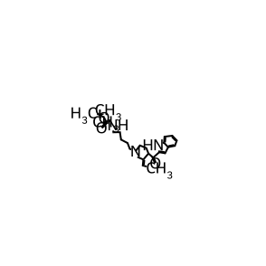 C/C=C1/CN(CCCCCNC(=O)OC(C)(C)C)CCC1C(=O)c1cc2ccccc2[nH]1